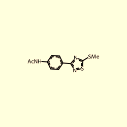 CSc1nc(-c2ccc(NC(C)=O)cc2)ns1